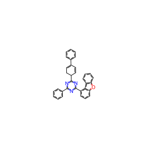 C1=CC(c2nc(-c3ccccc3)nc(-c3cccc4oc5ccccc5c34)n2)CC=C1c1ccccc1